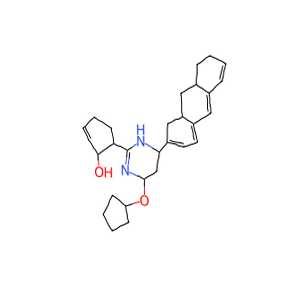 OC1C=CCCC1C1=NC(OC2CCCC2)CC(C2=CC=C3C=C4C=CCCC4CC3C2)N1